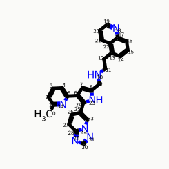 Cc1cccc(-c2cc(CNCCc3cccc4ncccc34)[nH]c2-c2ccc3ncnn3c2)n1